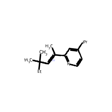 CCC(C)(C)/C=C(\C)c1cc(C(C)C)ccn1